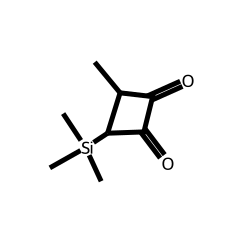 CC1C(=O)C(=O)C1[Si](C)(C)C